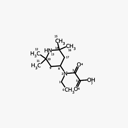 CCN(C(=O)C(=O)O)C1CC(C)(C)NC(C)(C)C1